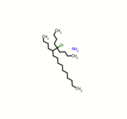 CCCCCCCCCCC(CCCC)C(Br)(CCCC)CCCC.N